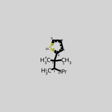 CC(C)C(C)C(C)(C)c1cccs1